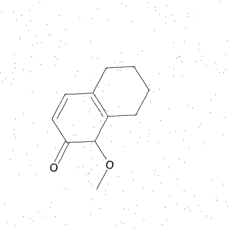 COC1C(=O)C=CC2=C1CCCC2